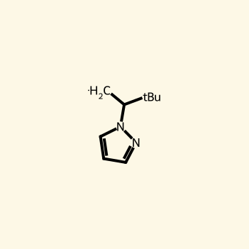 [CH2]C(n1cccn1)C(C)(C)C